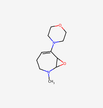 CN1CCC=C(N2CCOCC2)C2OC21